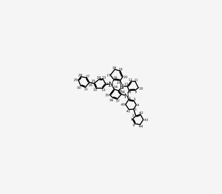 C1=CC(C2CC=C(N3C4=CCCC=C4B4C5=C(CCC=C5)N(c5ccc(-c6ccccc6)cc5)c5cccc3c54)CC2)=CCC1